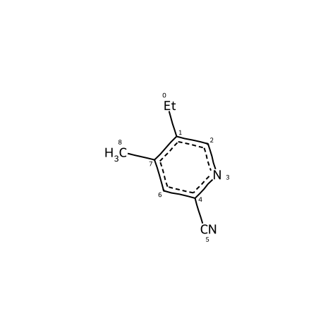 CCc1cnc(C#N)cc1C